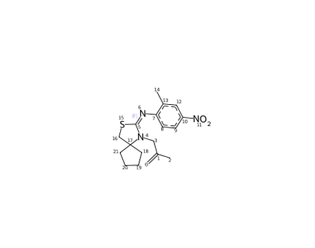 C=C(C)CN1/C(=N\c2ccc([N+](=O)[O-])cc2C)SCC12CCCC2